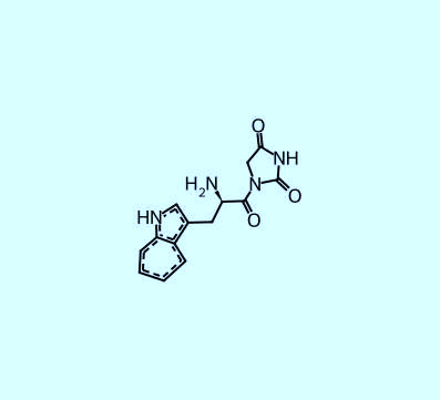 N[C@H](Cc1c[nH]c2ccccc12)C(=O)N1CC(=O)NC1=O